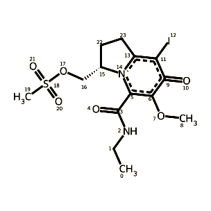 CCNC(=O)c1c(OC)c(=O)c(I)c2n1[C@H](COS(C)(=O)=O)CC2